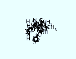 CC(C)C[C@H](NC(=O)OCc1ccccc1)C(=O)N[C@H](C(=O)N[C@@H](C)C(=O)NC(=O)Cc1c[nH]cn1)C(C)C